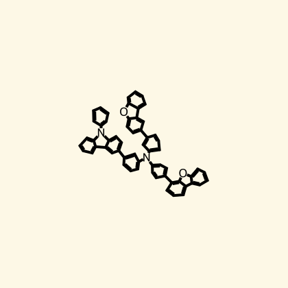 c1ccc(-n2c3ccccc3c3cc(-c4cccc(N(c5ccc(-c6cccc7c6oc6ccccc67)cc5)c5cccc(-c6ccc7oc8ccccc8c7c6)c5)c4)ccc32)cc1